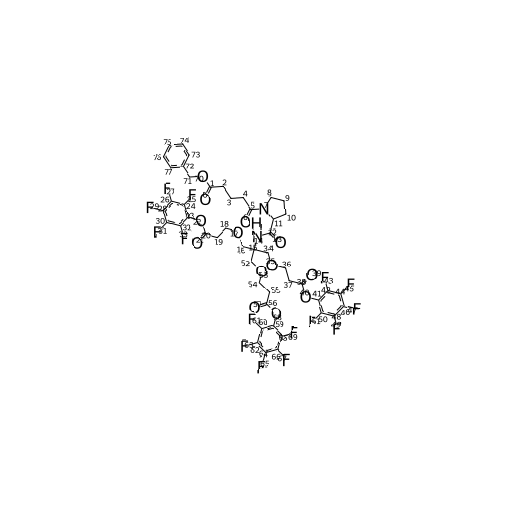 O=C(CCCC(=O)N1CCCC1C(=O)NC(COCCC(=O)Oc1c(F)c(F)c(F)c(F)c1F)(COCCC(=O)Oc1c(F)c(F)c(F)c(F)c1F)COCCC(=O)Oc1c(F)c(F)c(F)c(F)c1F)OCc1ccccc1